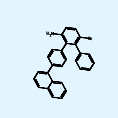 Nc1ccc(Br)c(-c2ccccc2)c1-c1ccc(-c2cccc3ccccc23)cc1